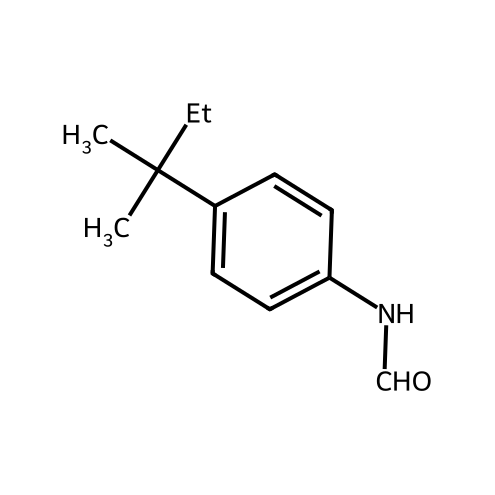 CCC(C)(C)c1ccc(NC=O)cc1